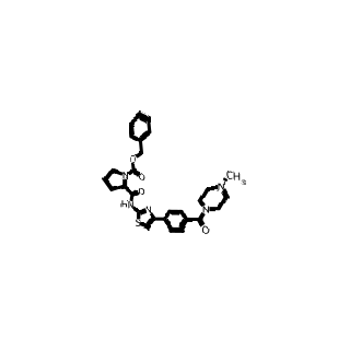 CN1CCN(C(=O)c2ccc(-c3csc(NC(=O)C4CCCN4C(=O)OCc4ccccc4)n3)cc2)CC1